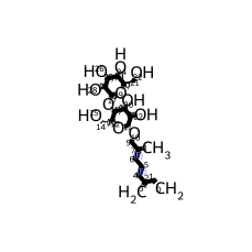 C=CC(=C)/C=C/C=C(\C)COC1O[C@H](CO)[C@@H](OC2O[C@H](CO)[C@@H](O)[C@H](O)[C@H]2O)[C@H](O)[C@H]1O